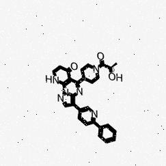 C[C@@H](O)C(=O)N1CCC(c2nc3c(-c4ccc(-c5ccccc5)nc4)cnn3c3c2C(=O)CCN3)CC1